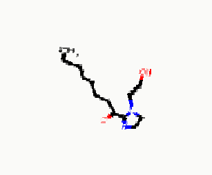 CCCCCCCC(=O)C1=NCCN1CCO